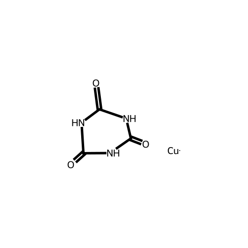 O=c1[nH]c(=O)[nH]c(=O)[nH]1.[Cu]